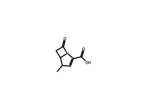 CC1C=C(C(=O)O)N2C(=O)CC12